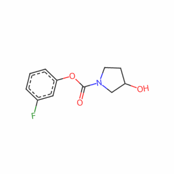 O=C(Oc1cccc(F)c1)N1CCC(O)C1